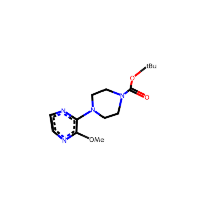 COc1nccnc1N1CCN(C(=O)OC(C)(C)C)CC1